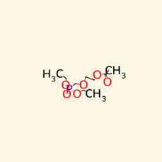 CCOP(=O)(COCCOC(C)=O)OCC